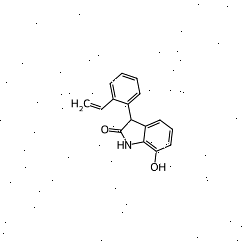 C=Cc1ccccc1C1C(=O)Nc2c(O)cccc21